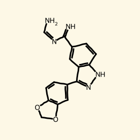 N=C(/N=C\N)c1ccc2[nH]nc(-c3ccc4c(c3)OCO4)c2c1